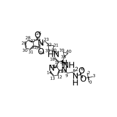 CC(C)(C)OC(=O)NCCNc1cccnc1/C(=C/NC1CC(CN2C(=O)c3ccccc3C2=O)C1)C(N)C1CC1